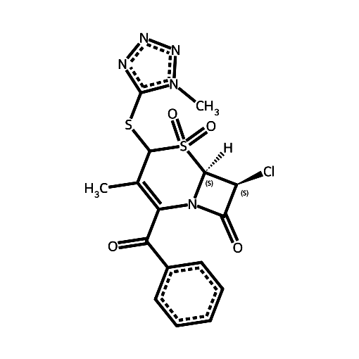 CC1=C(C(=O)c2ccccc2)N2C(=O)[C@H](Cl)[C@@H]2S(=O)(=O)C1Sc1nnnn1C